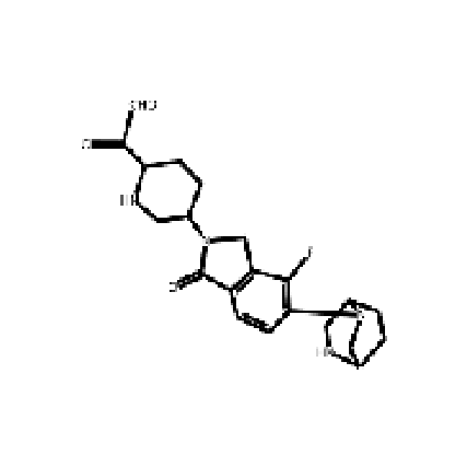 O=CC(=O)C1CCC(N2Cc3c(ccc(N4CC5CCC4CN5)c3F)C2=O)CN1